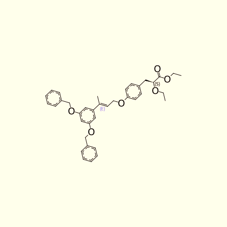 CCOC(=O)[C@H](Cc1ccc(OC/C=C(\C)c2cc(OCc3ccccc3)cc(OCc3ccccc3)c2)cc1)OCC